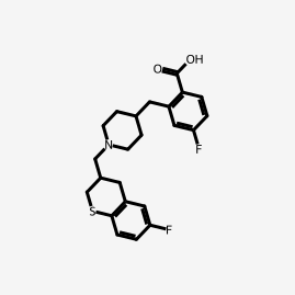 O=C(O)c1ccc(F)cc1CC1CCN(CC2CSc3ccc(F)cc3C2)CC1